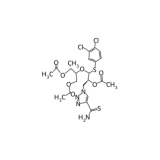 CC(=O)OCC(OC(Sc1ccc(Cl)c(Cl)c1)[C@H](Cn1cc(C(N)=S)nn1)OC(C)=O)[C@@H](C)OC(C)=O